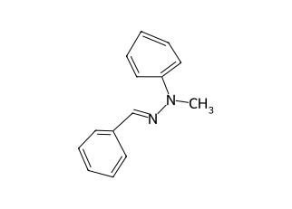 CN(/N=C/c1ccccc1)c1ccccc1